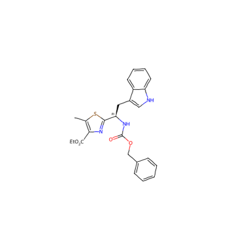 CCOC(=O)c1nc([C@@H](Cc2c[nH]c3ccccc23)NC(=O)OCc2ccccc2)sc1C